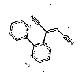 N#C/C=C(/C#N)c1cccnc1-c1ccccn1.[Pd]